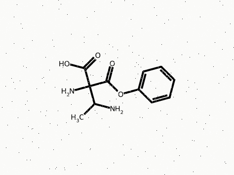 CC(N)C(N)(C(=O)O)C(=O)Oc1ccccc1